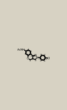 CC(=O)Nc1ccc2c(c1)OCC1CN(c3ccc(Cl)cc3)N=C21